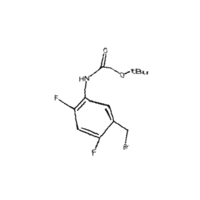 CC(C)(C)OC(=O)Nc1cc(CBr)c(F)cc1F